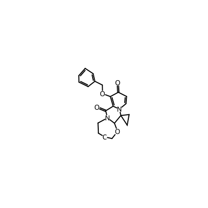 O=C1c2c(OCc3ccccc3)c(=O)ccn2C2(CC2)C2OCCCCN12